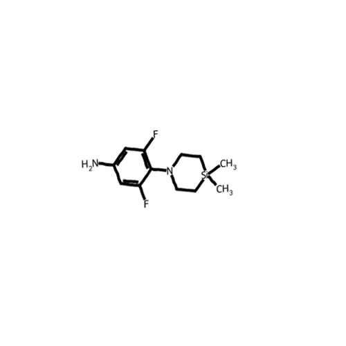 C[Si]1(C)CCN(c2c(F)cc(N)cc2F)CC1